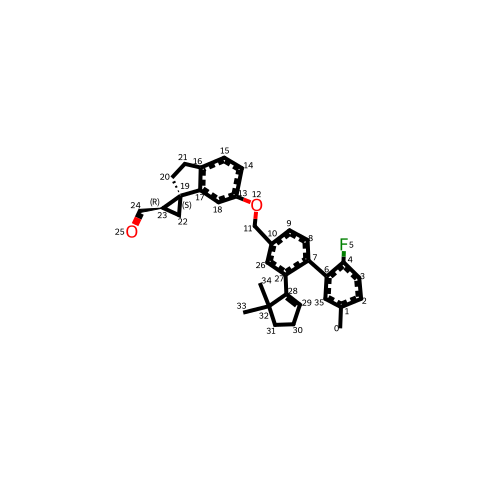 Cc1ccc(F)c(-c2ccc(COc3ccc4c(c3)[C@@]3(CC4)C[C@H]3C=O)cc2C2=CCCC2(C)C)c1